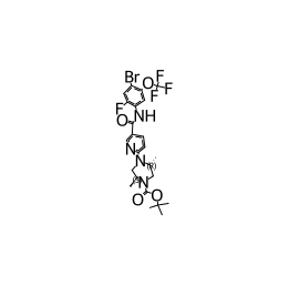 C[C@@H]1CN(C(=O)OC(C)(C)C)[C@@H](C)CN1c1ccc(C(=O)Nc2cc(OC(F)(F)F)c(Br)cc2F)cn1